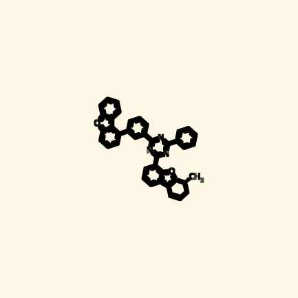 C[C@H]1CC=Cc2c1oc1c(-c3nc(-c4ccccc4)nc(-c4cccc(-c5cccc6oc7ccccc7c56)c4)n3)cccc21